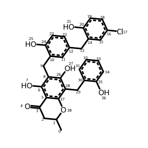 CC1CC(=O)c2c(O)c(Cc3cc(Cc4cc(Cl)ccc4O)ccc3O)c(O)c(Cc3ccccc3O)c2O1